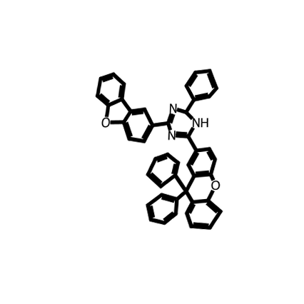 c1ccc(C2N=C(c3ccc4oc5ccccc5c4c3)N=C(c3ccc4c(c3)C(c3ccccc3)(c3ccccc3)c3ccccc3O4)N2)cc1